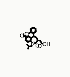 CC(C)CN1C(=O)C(CC(=O)O)CC(c2ccccc2Cl)c2cc(Cl)ccc21